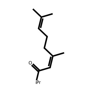 CC(C)=CCCC(C)=CC(=O)C(C)C